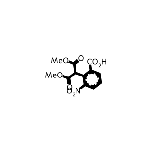 COC(=O)C(C(=O)OC)c1c(C(=O)O)cccc1[N+](=O)[O-]